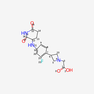 O=C(O)CN1CC(c2ccc(NC3CCC(=O)NC3=O)cc2F)C1